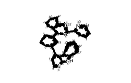 c1ccc(-c2nc(-c3cccc(-c4ccnc5[nH]c6ccccc6c45)c3)c3ccccc3n2)nc1